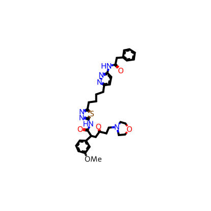 COc1cccc(C(CC(=O)CCN2CCOCC2)C(=O)Nc2nnc(CCCCc3ccc(NC(=O)Cc4ccccc4)nn3)s2)c1